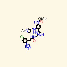 COC(=O)Nc1ccc(-c2c[nH]c(CNC(=O)/C=C/c3cc(Cl)ccc3-n3cnnn3)n2)c(NC[C@@H]2CCN(C(C)=O)C2)c1